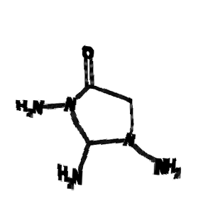 NC1N(N)CC(=O)N1N